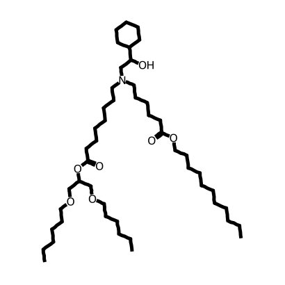 CCCCCCCCCCCOC(=O)CCCCCN(CCCCCCCC(=O)OC(COCCCCCC)COCCCCCC)CC(O)C1CCCCC1